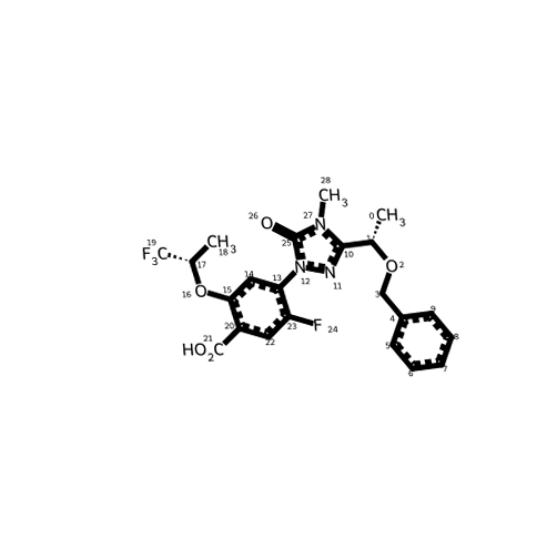 C[C@H](OCc1ccccc1)c1nn(-c2cc(O[C@@H](C)C(F)(F)F)c(C(=O)O)cc2F)c(=O)n1C